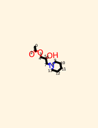 CC(=O)OCC(O)CN1CCCCC1